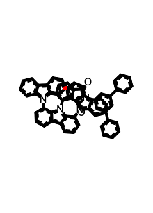 O=C1c2cccc(-n3c4c(-n5c6ccccc6c6ccccc65)cccc4c4cccc(-n5c6ccccc6c6ccccc65)c43)c2C(=O)N1c1cc(-c2ccccc2)cc(-c2ccccc2)c1